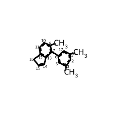 Cc1cc(C)cc(-c2c(C)ccc3c2C=CC3)c1